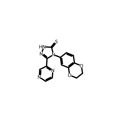 S=c1[nH]nc(-c2cnccn2)n1-c1ccc2c(c1)OCCO2